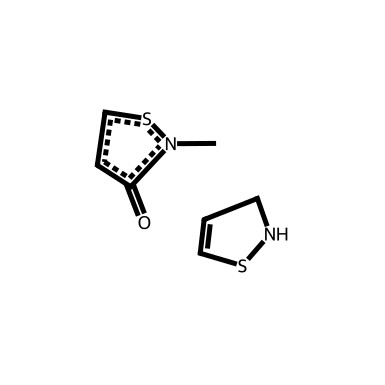 C1=CSNC1.Cn1sccc1=O